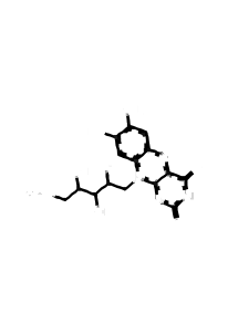 COCC(O)C(O)C(O)Cn1c2nc(=O)[nH]c(=O)c-2nc2cc(C)c(C)cc21